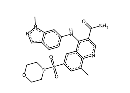 Cc1cc(S(=O)(=O)N2CCOCC2)cc2c(Nc3ccc4cnn(C)c4c3)c(C(N)=O)cnc12